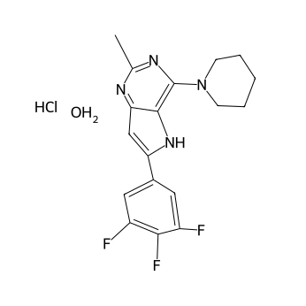 Cc1nc(N2CCCCC2)c2[nH]c(-c3cc(F)c(F)c(F)c3)cc2n1.Cl.O